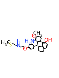 COc1ccc(-c2c(O)ccc3c2CCCC3)c(Cc2ccc(OCCNCCSC)cc2)c1N